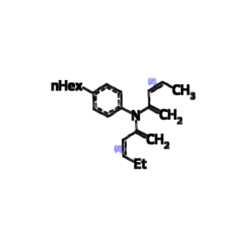 C=C(/C=C\C)N(C(=C)/C=C\CC)c1ccc(CCCCCC)cc1